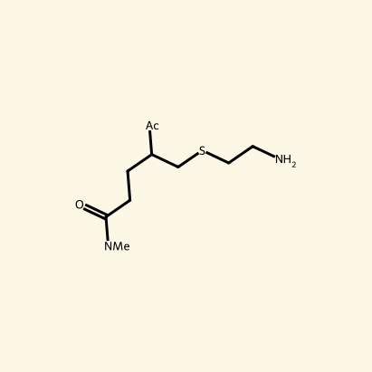 CNC(=O)CCC(CSCCN)C(C)=O